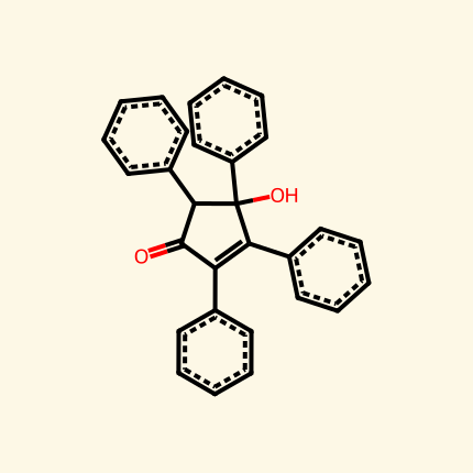 O=C1C(c2ccccc2)=C(c2ccccc2)C(O)(c2ccccc2)C1c1ccccc1